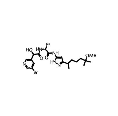 CCC(NC(=O)C(O)c1cncc(Br)c1)C(=O)Nc1cc(C(C)CCCC(C)(C)OC)n[nH]1